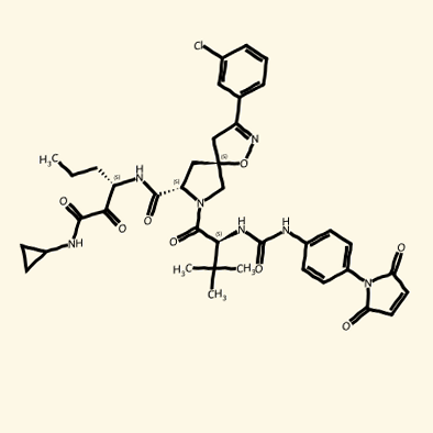 CCC[C@H](NC(=O)[C@@H]1C[C@]2(CC(c3cccc(Cl)c3)=NO2)CN1C(=O)[C@@H](NC(=O)Nc1ccc(N2C(=O)C=CC2=O)cc1)C(C)(C)C)C(=O)C(=O)NC1CC1